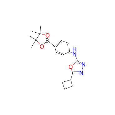 CC1(C)OB(c2ccc(Nc3nnc(C4CCC4)o3)cc2)OC1(C)C